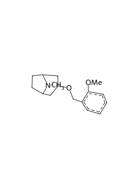 COc1ccccc1COC1CC2CCC(C1)N2C